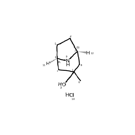 CC1(O)C[C@H]2CC[C@@H](C1)N2.Cl